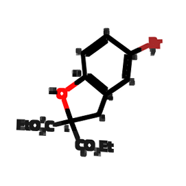 CCOC(=O)C1(C(=O)OCC)Cc2cc(Br)ccc2O1